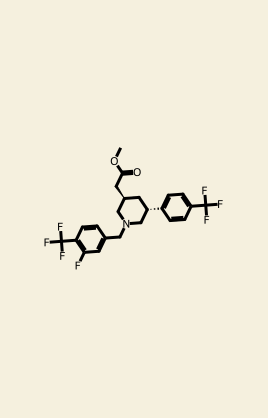 COC(=O)C[C@H]1C[C@H](c2ccc(C(F)(F)F)cc2)CN(Cc2ccc(C(F)(F)F)c(F)c2)C1